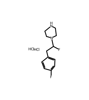 Cl.Cl.Fc1ccc(CC(F)N2CCNCC2)cc1